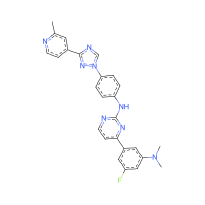 Cc1cc(-c2ncn(-c3ccc(Nc4nccc(-c5cc(F)cc(N(C)C)c5)n4)cc3)n2)ccn1